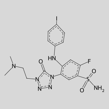 CN(C)CCn1nnn(-c2cc(S(N)(=O)=O)c(F)cc2Nc2ccc(I)cc2)c1=O